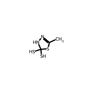 CC1=NNC(S)(S)S1